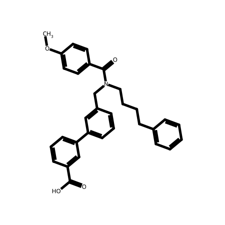 COc1ccc(C(=O)N(CCCCc2ccccc2)Cc2cccc(-c3cccc(C(=O)O)c3)c2)cc1